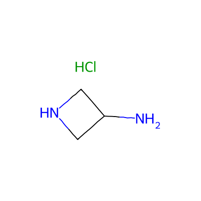 Cl.NC1CNC1